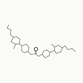 CCCCC1CCC(C2CCC(CC(=O)CC3CCC(C4CCC(CCCC)CC4C)CC3)CC2)C(C)C1